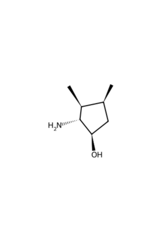 C[C@@H]1[C@@H](N)[C@H](O)C[C@@H]1C